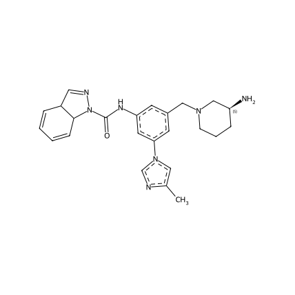 Cc1cn(-c2cc(CN3CCC[C@H](N)C3)cc(NC(=O)N3N=CC4C=CC=CC43)c2)cn1